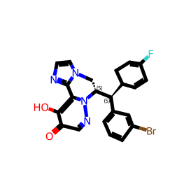 O=c1cnn2c(c1O)-c1nccn1C[C@@H]2[C@H](c1cccc(Br)c1)C1C=CC(F)=CC1